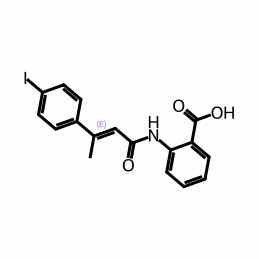 C/C(=C\C(=O)Nc1ccccc1C(=O)O)c1ccc(I)cc1